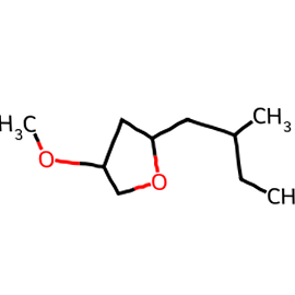 CCC(C)CC1CC(OC)CO1